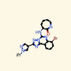 CC(C)n1cc(-c2nc3c4cccc(Br)c4nc(Nc4ccccnc4=O)n3n2)cn1